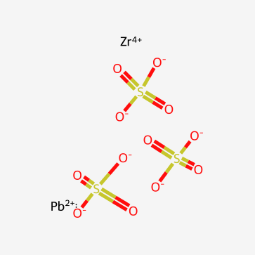 O=S(=O)([O-])[O-].O=S(=O)([O-])[O-].O=S(=O)([O-])[O-].[Pb+2].[Zr+4]